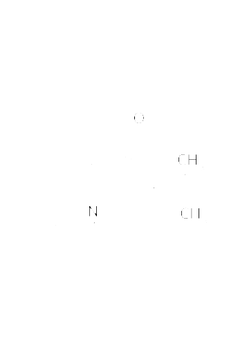 CC1(C)Cn2cccc2C1=O